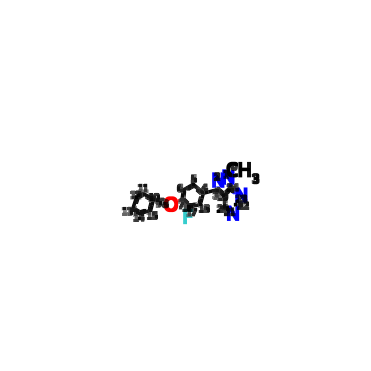 Cn1nc(-c2ccc(OCc3ccccc3)c(F)c2)c2cn[c]nc21